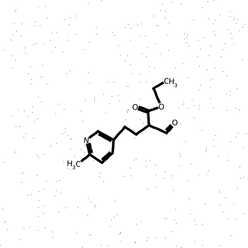 CCOC(=O)C(C=O)CCc1ccc(C)nc1